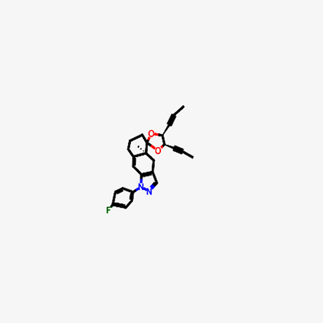 CC#C[C@@H]1OC2(CCCC3=Cc4c(cnn4-c4ccc(F)cc4)C[C@@]32C)O[C@@H]1C#CC